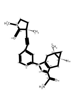 CN1CC[C@@](C)(C#Cc2ccnc(-n3nc(C(N)=O)c4c3C[C@@]3(C)C[C@H]3C4)c2)C1=O